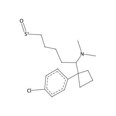 CN(C)C(CCCC[S+]=O)C1(c2ccc(Cl)cc2)CCC1